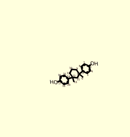 CC1(c2ccc(O)cc2)CCCC(C)(c2ccc(O)cc2)C1